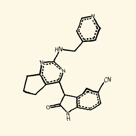 N#Cc1ccc2c(c1)C(c1nc(NCc3ccncc3)nc3c1CCC3)C(=O)N2